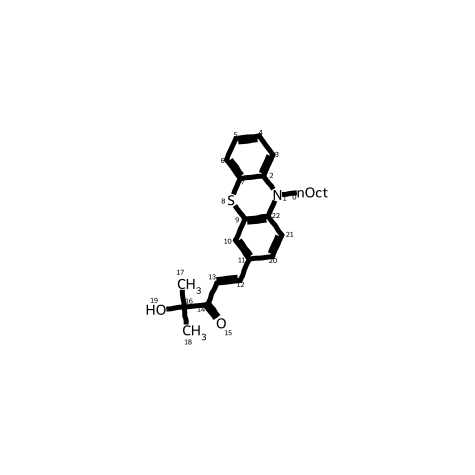 CCCCCCCCN1c2ccccc2Sc2cc(C=CC(=O)C(C)(C)O)ccc21